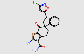 NC(=O)c1c(N)sc2c1CCC(CCc1cc(Br)no1)(c1ccccc1)C2=O